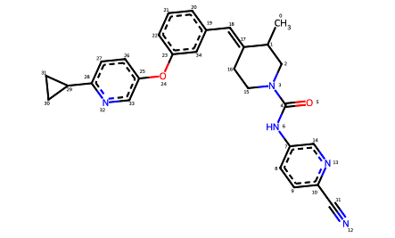 CC1CN(C(=O)Nc2ccc(C#N)nc2)CCC1=Cc1cccc(Oc2ccc(C3CC3)nc2)c1